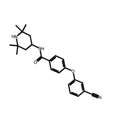 CC1(C)CC(NC(=O)c2ccc(Oc3cccc(C#N)c3)cc2)CC(C)(C)N1